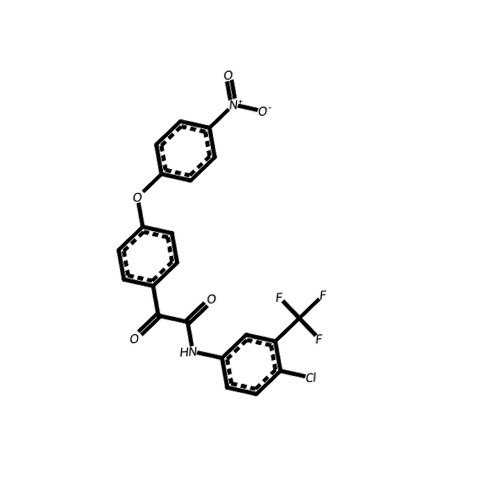 O=C(Nc1ccc(Cl)c(C(F)(F)F)c1)C(=O)c1ccc(Oc2ccc([N+](=O)[O-])cc2)cc1